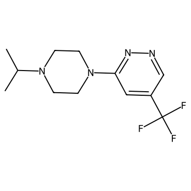 CC(C)N1CCN(c2cc(C(F)(F)F)cnn2)CC1